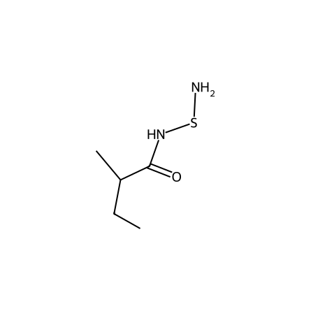 CCC(C)C(=O)NSN